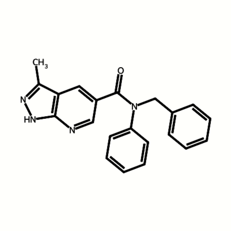 Cc1n[nH]c2ncc(C(=O)N(Cc3ccccc3)c3ccccc3)cc12